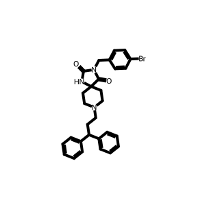 O=C1NC2(CCN(CCC(c3ccccc3)c3ccccc3)CC2)C(=O)N1Cc1ccc(Br)cc1